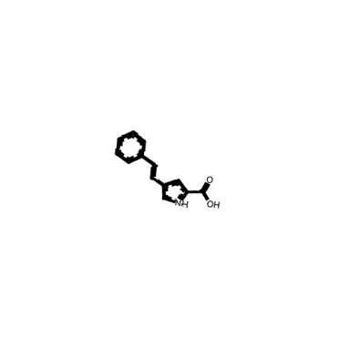 O=C(O)c1cc(C=Cc2ccccc2)c[nH]1